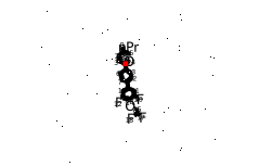 CCCC12CCC(c3ccc(-c4cc(F)c(OC=C(F)F)c(F)c4)cc3)(OC1)OC2